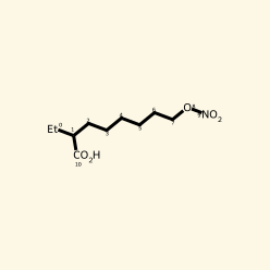 CCC(CCCCCCO[N+](=O)[O-])C(=O)O